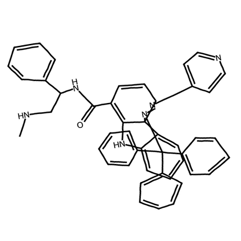 CNCC(NC(=O)C1=C2Nc3ccccc3C23C(C=C1)N(c1ccncc1)CN3C(c1ccccc1)(c1ccccc1)c1ccccc1)c1ccccc1